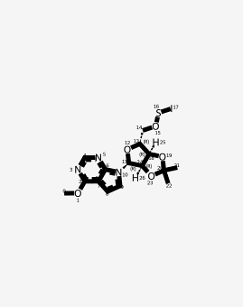 COc1ncnc2c1ccn2[C@@H]1O[C@H](COSI)[C@H]2OC(C)(C)O[C@H]21